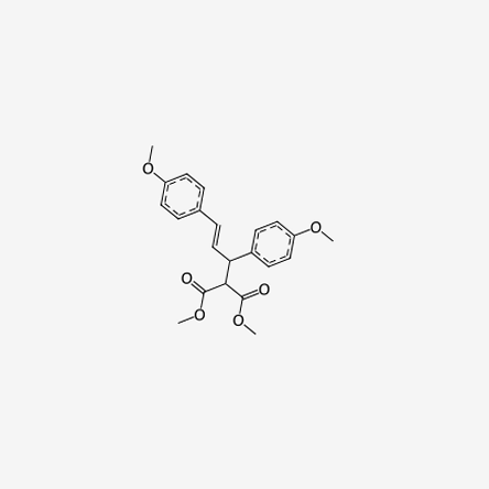 COC(=O)C(C(=O)OC)C(/C=C/c1ccc(OC)cc1)c1ccc(OC)cc1